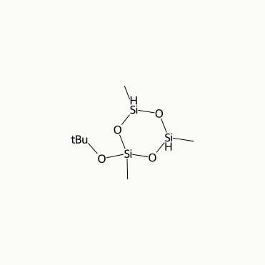 C[SiH]1O[SiH](C)O[Si](C)(OC(C)(C)C)O1